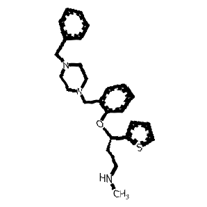 CNCC[C@@H](Oc1ccccc1CN1CCN(Cc2ccccc2)CC1)c1cccs1